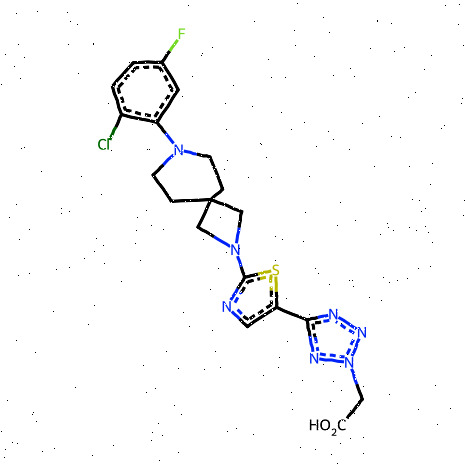 O=C(O)Cn1nnc(-c2cnc(N3CC4(CCN(c5cc(F)ccc5Cl)CC4)C3)s2)n1